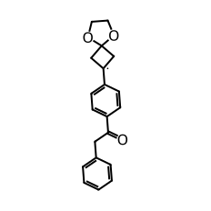 O=C(Cc1ccccc1)c1ccc([C]2CC3(C2)OCCO3)cc1